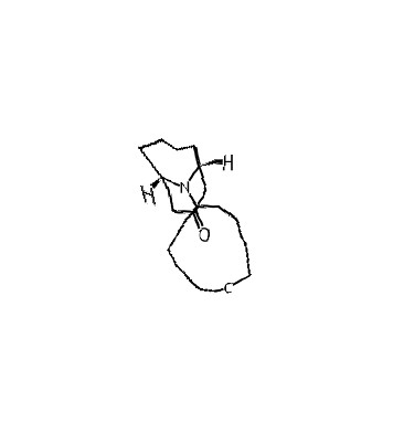 O=C1C[C@H]2CCC[C@@H](C1)N2C1CCCCCCCCC1